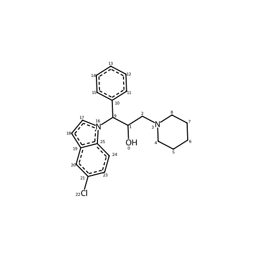 OC(CN1CCCCC1)C(c1ccccc1)n1ccc2cc(Cl)ccc21